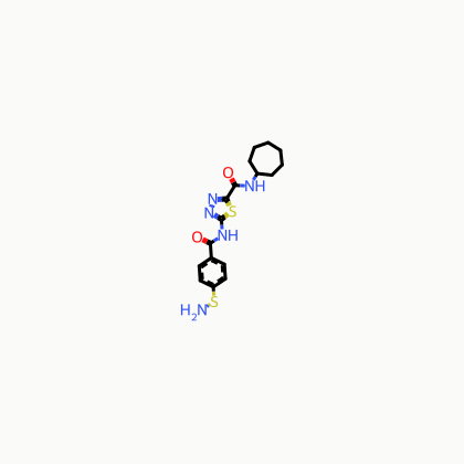 NSc1ccc(C(=O)Nc2nnc(C(=O)NC3CCCCCC3)s2)cc1